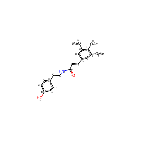 COc1cc(/C=C/C(=O)NCCc2ccc(O)cc2)cc(OC)c1OC(C)=O